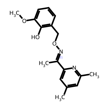 COc1cccc(CO/N=C(\C)c2cc(C)cc(C)n2)c1O